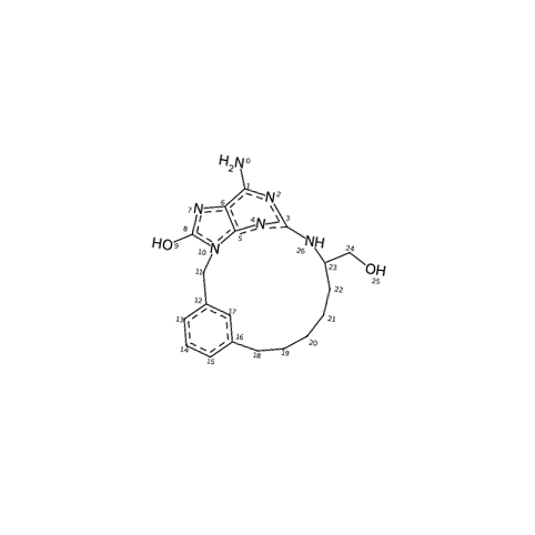 Nc1nc2nc3c1nc(O)n3Cc1cccc(c1)CCCCCC(CO)N2